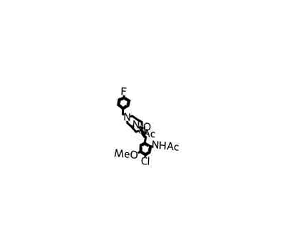 COc1cc(C=CC(=O)N2C3CN(Cc4ccc(F)cc4)CC2CN(C(C)=O)C3)c(NC(C)=O)cc1Cl